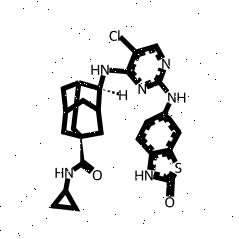 O=c1[nH]c2ccc(Nc3ncc(Cl)c(N[C@H]4C5CC6CC4C[C@@](C(=O)NC4CC4)(C6)C5)n3)cc2s1